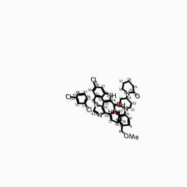 C=C(Nc1cc(COC)ccc1N1CCC(N2CCCCC2=O)CC1)c1[nH]c2cc(Cl)cc3c2c1-c1c(-c2ccccc2)ncn1[C@@H]3c1ccc(Cl)cc1Cl